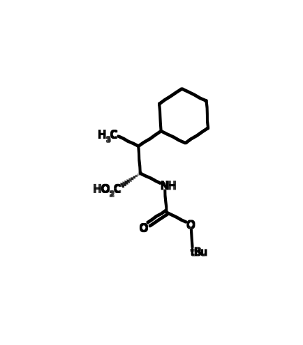 CC(C1CCCCC1)[C@H](NC(=O)OC(C)(C)C)C(=O)O